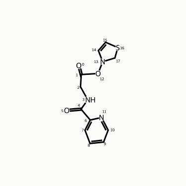 O=C(CNC(=O)c1ccccn1)ON1C=CSC1